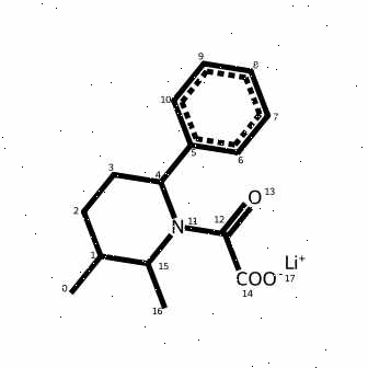 CC1CCC(c2ccccc2)N(C(=O)C(=O)[O-])C1C.[Li+]